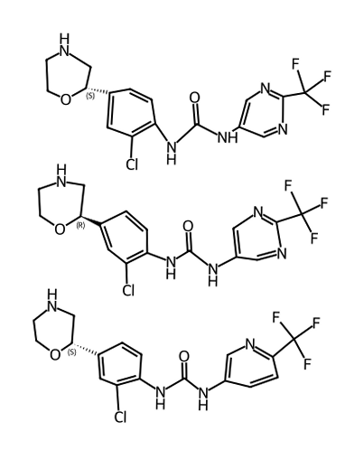 O=C(Nc1ccc(C(F)(F)F)nc1)Nc1ccc([C@H]2CNCCO2)cc1Cl.O=C(Nc1cnc(C(F)(F)F)nc1)Nc1ccc([C@@H]2CNCCO2)cc1Cl.O=C(Nc1cnc(C(F)(F)F)nc1)Nc1ccc([C@H]2CNCCO2)cc1Cl